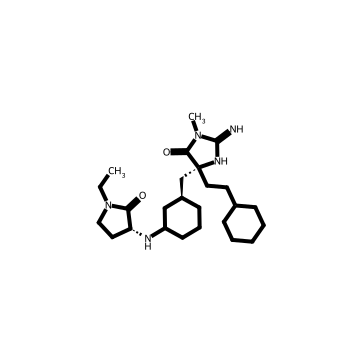 CCN1CC[C@@H](NC2CCC[C@H](C[C@@]3(CCC4CCCCC4)NC(=N)N(C)C3=O)C2)C1=O